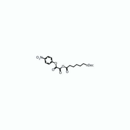 CCCCCCCCCCCCCCCC(=O)OC(=O)C(=O)Oc1ccc([N+](=O)[O-])cc1